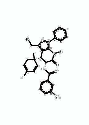 CCN1C(=O)[C@H](NC(=O)c2cccc(C(F)(F)F)c2)[C@H](C2(C)C=CC(F)=CC2)c2c(CO)nn(-c3ccccc3)c21